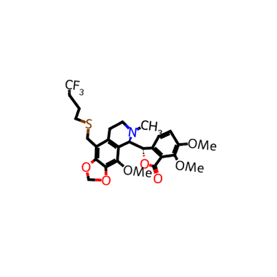 COc1ccc2c(c1OC)C(=O)O[C@@H]2[C@H]1c2c(c(CSCCCC(F)(F)F)c3c(c2OC)OCO3)CCN1C